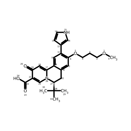 COCCCOc1cc2c(cc1-c1cc[nH]c1)-c1cc(=O)c(C(=O)O)cn1[C@H](C(C)(C)C)C2